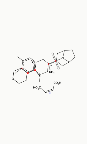 CN(CCS(=O)(=O)N1C2CCC1CC([C@H](N)Cc1cc(F)c(F)cc1F)C2)C(=O)C1CCOCC1.O=C(O)/C=C\C(=O)O